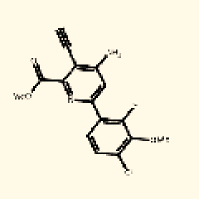 C#Cc1c(N)cc(-c2ccc(Cl)c(OC)c2F)nc1C(=O)OC